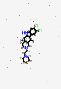 CC1c2c([nH]c3cc(Cl)c(Cl)cc23)C[C@@H]2CCN(CCN3CCSCC3)CC12